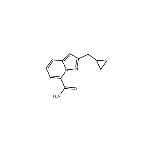 NC(=O)c1cccc2cc(CC3CC3)nn12